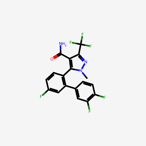 Cn1nc(C(F)(F)F)c(C(N)=O)c1-c1ccc(F)cc1-c1ccc(F)c(F)c1